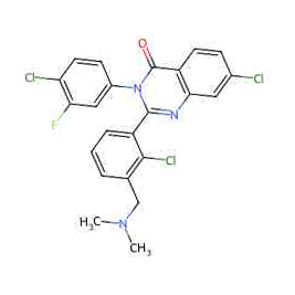 CN(C)Cc1cccc(-c2nc3cc(Cl)ccc3c(=O)n2-c2ccc(Cl)c(F)c2)c1Cl